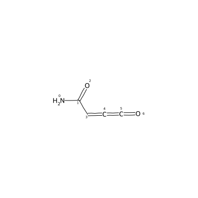 NC(=O)C=C=C=O